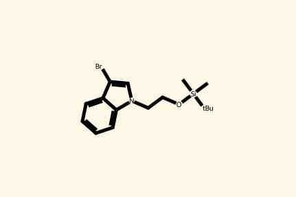 CC(C)(C)[Si](C)(C)OCCn1cc(Br)c2ccccc21